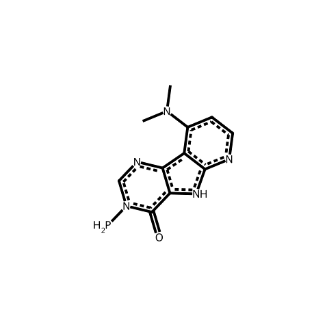 CN(C)c1ccnc2[nH]c3c(=O)n(P)cnc3c12